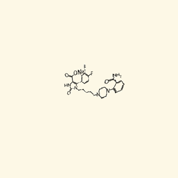 COC(=O)c1[nH]c(=O)n(CCCCCN2CCN(c3ccccc3C(N)=O)CC2)c1-c1ccc(F)c(F)c1